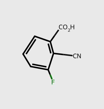 N#Cc1c(F)cccc1C(=O)O